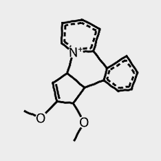 COC1=CC2C(c3ccccc3-c3cccc[n+]32)C1OC